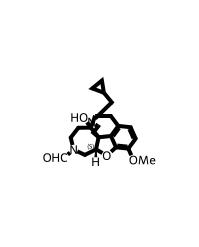 COc1ccc2c3c1O[C@@H]1CN(C=O)CCC4(O)C(C2)N(CC2CC2)CCC314